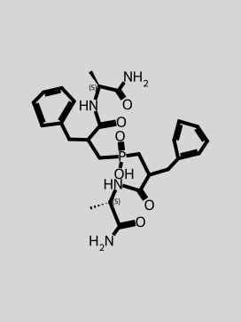 C[C@H](NC(=O)C(Cc1ccccc1)CP(=O)(O)CC(Cc1ccccc1)C(=O)N[C@@H](C)C(N)=O)C(N)=O